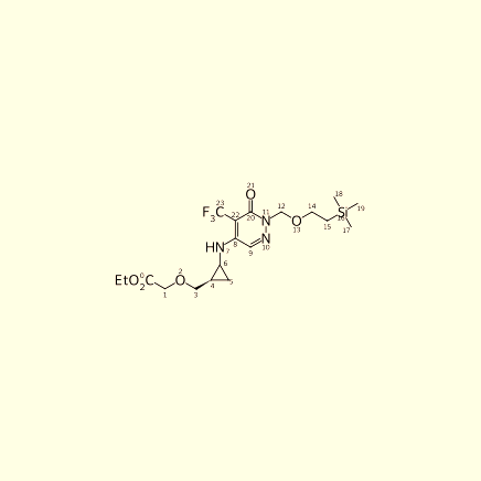 CCOC(=O)COC[C@@H]1CC1Nc1cnn(COCC[Si](C)(C)C)c(=O)c1C(F)(F)F